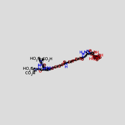 Nc1nc(=O)n([C@H]2CC(O)[C@@H](COP(=O)(O)OP(=O)(O)OP(=O)(O)O)O2)cc1C#CCNC(=O)COCCOCCOCCOCCNC(=O)COCCOCCOCCOCCN1C=C(CN(CCC(=O)NCCN(CCC(=O)O)CCC(=O)O)CCC(=O)NCCN(CCC(=O)O)CCC(=O)O)NN1